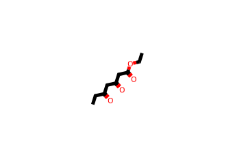 CCOC(=O)CC(=O)CC(=O)CC